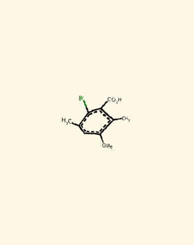 COc1cc(C)c(Br)c(C(=O)O)c1C